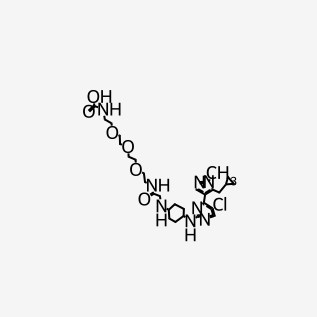 Cn1ncc(-c2nc(NC3CCC(NCC(=O)NCCOCCOCCOCCNC(=O)O)CC3)ncc2Cl)c1CC1CC1